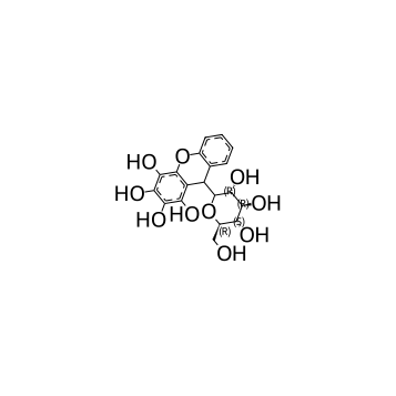 OC[C@H]1OC(C2c3ccccc3Oc3c(O)c(O)c(O)c(O)c32)[C@H](O)[C@@H](O)[C@@H]1O